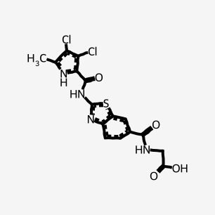 Cc1[nH]c(C(=O)Nc2nc3ccc(C(=O)NCC(=O)O)cc3s2)c(Cl)c1Cl